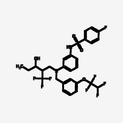 CCC(O)C(CN(Cc1cccc(OC(F)(F)C(F)F)c1)c1cccc(NS(=O)(=O)c2ccc(F)cc2)c1)C(F)(F)F